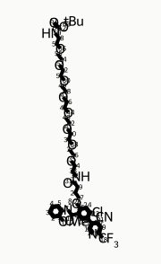 COc1ccccc1N(C)C(=O)c1cc(-c2cnc(C(F)(F)F)cc2C#N)c(Cl)cc1OCCCC(=O)NCCOCCOCCOCCOCCOCCOCCOCCOCCNC(=O)OC(C)(C)C